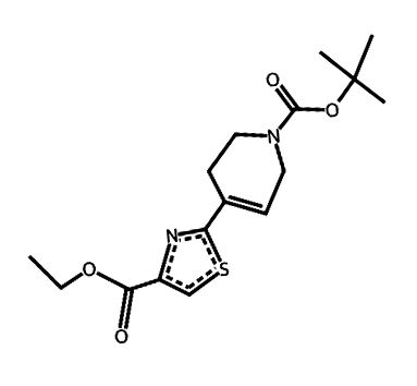 CCOC(=O)c1csc(C2=CCN(C(=O)OC(C)(C)C)CC2)n1